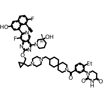 C#Cc1c(F)ccc2cc(O)cc(-c3ncc4c(N5CCC[C@@](C)(O)C5)nc(OCC5(CN6CCN(CC7CCC8(CC7)CCN(C(=O)c7ccc(CC)c(N9CCC(=O)NC9=O)c7)CC8)CC6)CC5)nc4c3F)c12